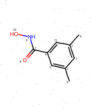 Cc1cc(C)cc(C(=O)NO)c1